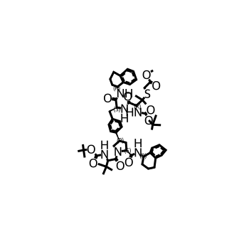 COC(=O)CSC(C)(C)[C@H](NC(=O)OC(C)(C)C)C(=O)N[C@@H](Cc1ccc([C@H]2C[C@@H](C(=O)N[C@@H]3CCCc4ccccc43)N(C(=O)C(NC(=O)OC(C)(C)C)C(C)(C)C)C2)cc1)C(=O)N[C@@H]1CCCc2ccccc21